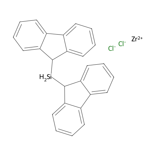 [Cl-].[Cl-].[Zr+2].c1ccc2c(c1)-c1ccccc1C2[SiH2]C1c2ccccc2-c2ccccc21